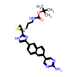 CC(C)(C)OC(=O)NCCC[C@@]1(c2nc(-c3ccc4cc(-c5cnc(N)nc5)ccc4c3)c[nH]2)CS1